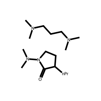 CCCC1CCN(N(C)C)C1=O.CN(C)CCCN(C)C